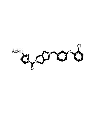 CC(=O)Nc1ccn(C(=O)N2CC3CN(Cc4cccc(Oc5ccccc5Cl)c4)CC3C2)n1